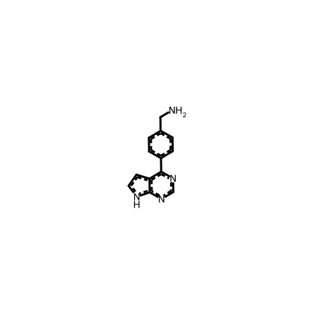 NCc1ccc(-c2ncnc3[nH]ccc23)cc1